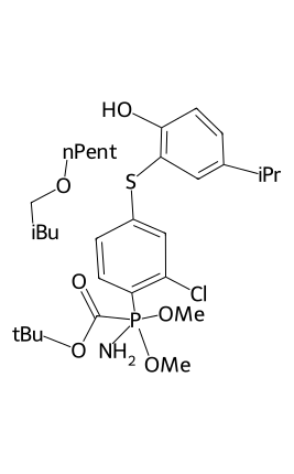 CCCCCOCC(C)CC.COP(N)(OC)(C(=O)OC(C)(C)C)c1ccc(Sc2cc(C(C)C)ccc2O)cc1Cl